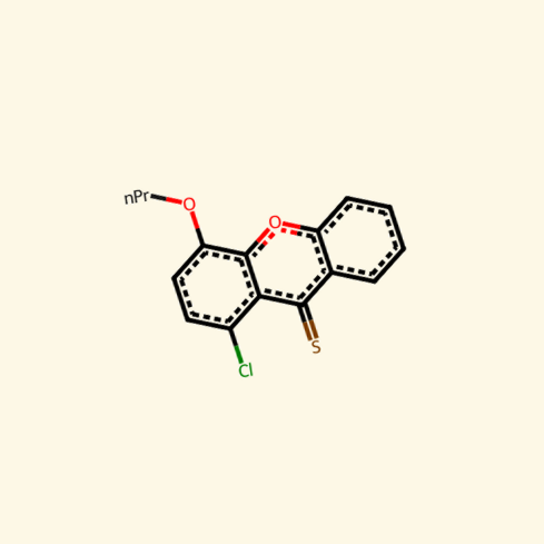 CCCOc1ccc(Cl)c2c(=S)c3ccccc3oc12